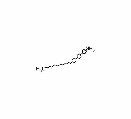 CCCCCCCCCCCCCCCC1CCC(C2CCC(c3ccc(N)cc3)CC2)CC1